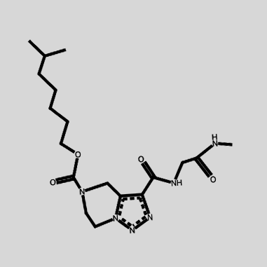 CNC(=O)CNC(=O)c1nnn2c1CN(C(=O)OCCCCCC(C)C)CC2